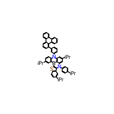 CC(C)c1ccc(N2c3cc(C(C)C)cc4c3B(c3cc(C(C)C)ccc3N4c3cccc(-c4cccc5c6ccccc6c6ccccc6c45)c3)c3sc4ccc(C(C)C)cc4c32)cc1